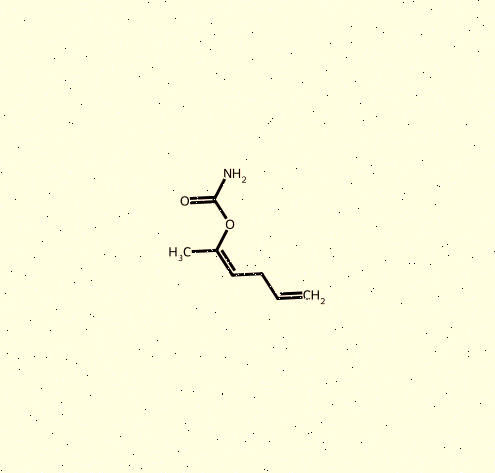 C=CCC=C(C)OC(N)=O